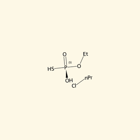 CCCCl.CCO[P@](=O)(O)S